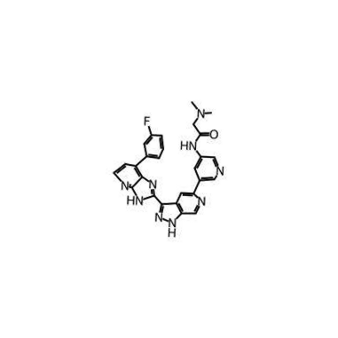 CN(C)CC(=O)Nc1cncc(-c2cc3c(-c4nc5c(-c6cccc(F)c6)ccnc5[nH]4)n[nH]c3cn2)c1